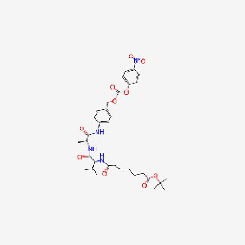 CC(C)[C@H](NC(=O)CCCCCC(=O)OC(C)(C)C)C(=O)N[C@@H](C)C(=O)Nc1ccc(COC(=O)Oc2ccc([N+](=O)[O-])cc2)cc1